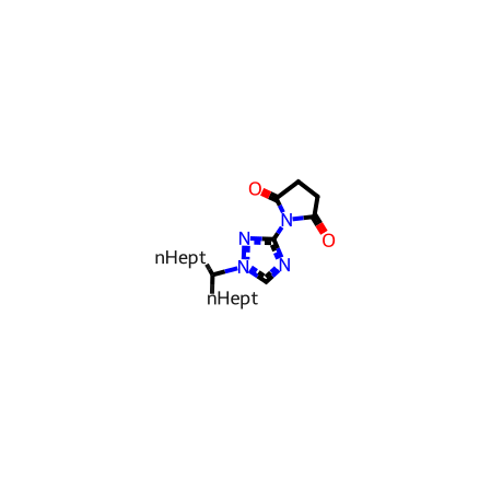 CCCCCCCC(CCCCCCC)n1cnc(N2C(=O)CCC2=O)n1